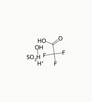 O=C(O)C(F)(F)F.O=S(=O)(O)O.[H+]